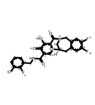 O=C(NCc1cccc(Cl)c1F)c1cn2c(c(O)c1=O)C(=O)N1Cc3cc(F)c(F)cc3C[C@@H]2C1